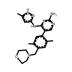 Cc1cc(Nc2nc(N)ncc2-c2cc(C)c(CN3CCOCC3)cc2C)n[nH]1